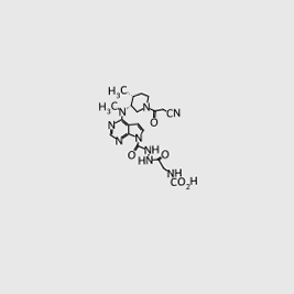 C[C@@H]1CCN(C(=O)CC#N)C[C@@H]1N(C)c1ncnc2c1ccn2C(=O)NNC(=O)CNC(=O)O